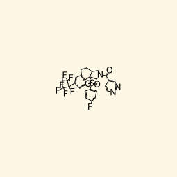 O=C(c1ccnnc1)N1CC2CCc3cc(C(F)(C(F)(F)F)C(F)(F)F)ccc3C2(S(=O)(=O)c2ccc(F)cc2)C1